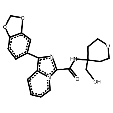 O=C(NC1(CO)CCOCC1)c1nc(-c2ccc3c(c2)OCO3)c2ccccn12